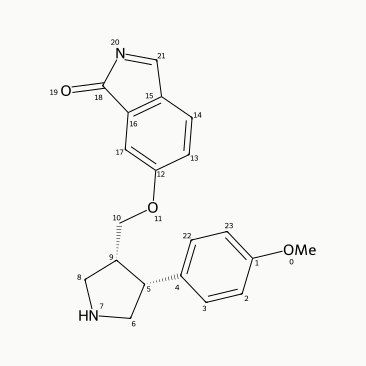 COc1ccc([C@@H]2CNC[C@@H]2COc2ccc3c(c2)C(=O)N=C3)cc1